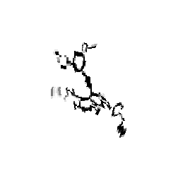 C=CCN1CC[C@H](n2nc(C#Cc3cc(OC)cc(OC)c3)c3c(N)ncnc32)C1